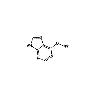 CC(C)Oc1ncnc2[nH]cnc12